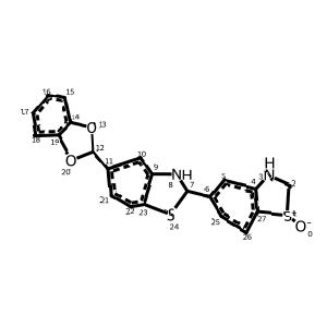 [O-][S+]1CNc2cc(C3Nc4cc(C5Oc6ccccc6O5)ccc4S3)ccc21